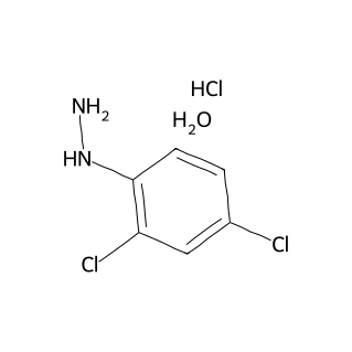 Cl.NNc1ccc(Cl)cc1Cl.O